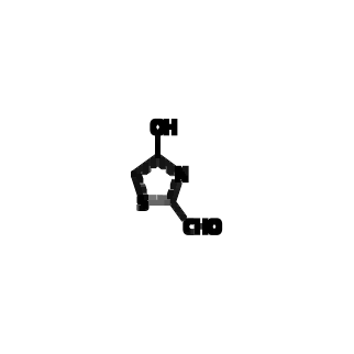 O=Cc1nc(O)cs1